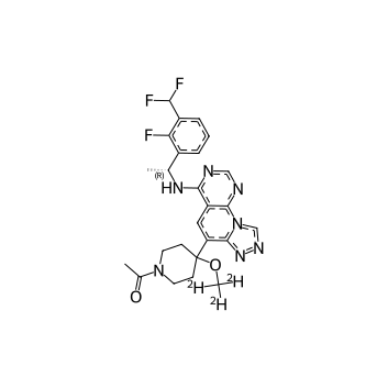 [2H]C([2H])([2H])OC1(c2cc3c(N[C@H](C)c4cccc(C(F)F)c4F)ncnc3n3cnnc23)CCN(C(C)=O)CC1